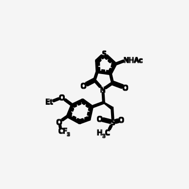 CCOc1cc([C@H](CS(C)(=O)=O)N2C(=O)c3csc(NC(C)=O)c3C2=O)ccc1OC(F)(F)F